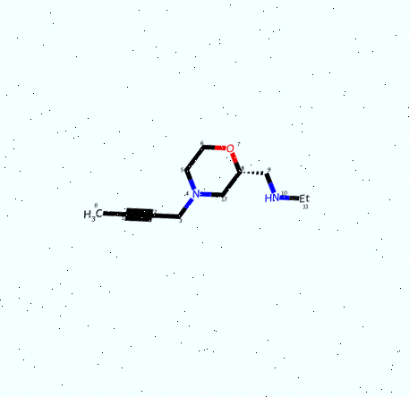 CC#CCN1CCO[C@H](CNCC)C1